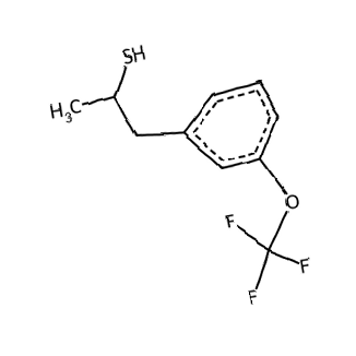 CC(S)Cc1cccc(OC(F)(F)F)c1